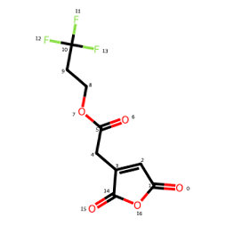 O=C1C=C(CC(=O)OCCC(F)(F)F)C(=O)O1